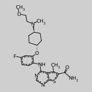 COCCN(C)[C@H]1CC[C@H](Oc2cc(F)ccc2Nc2ncnc3sc(C(N)=O)c(C)c23)CC1